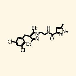 CCc1nn(CCNC(=O)c2cc(C)n(C)n2)c(CC)c1Cc1cc(Cl)cc(Cl)c1